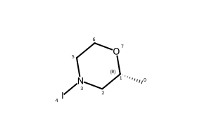 C[C@@H]1CN(I)CCO1